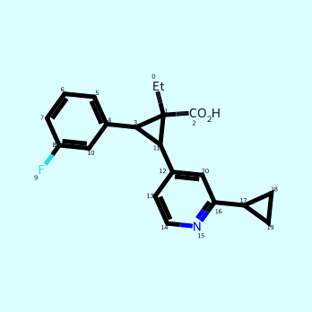 CCC1(C(=O)O)C(c2cccc(F)c2)C1c1ccnc(C2CC2)c1